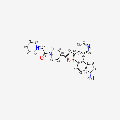 N=C1CCc2cc(-c3oc(C4CCN(C(=O)CN5CCCCC5)CC4)cc3-c3ccncc3)ccc21